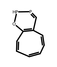 c1cccc2o[pH]pcc=2cc1